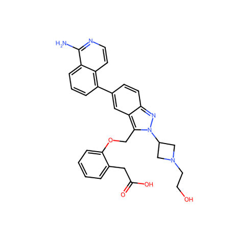 Nc1nccc2c(-c3ccc4nn(C5CN(CCO)C5)c(COc5ccccc5CC(=O)O)c4c3)cccc12